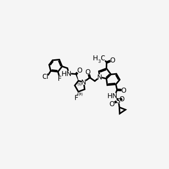 CC(=O)c1cn(CC(=O)N2C[C@H](F)C[C@H]2C(=O)NCc2cccc(Cl)c2F)c2cc(C(=O)NS(=O)(=O)C3CC3)ccc12